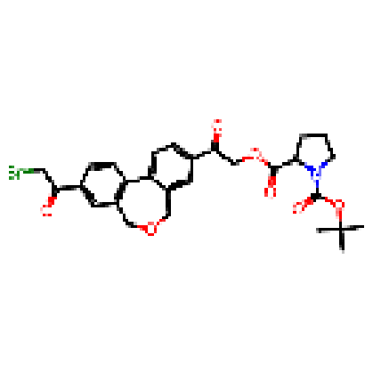 CC(C)(C)OC(=O)N1CCCC1C(=O)OCC(=O)c1ccc2c(c1)COCc1cc(C(=O)CBr)ccc1-2